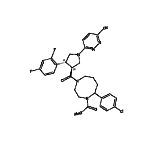 COC(=O)N1CCN(C(=O)[C@@H]2CN(c3ccc(C#N)nn3)C[C@H]2c2ccc(F)cc2F)CCCC1c1ccc(Cl)cc1